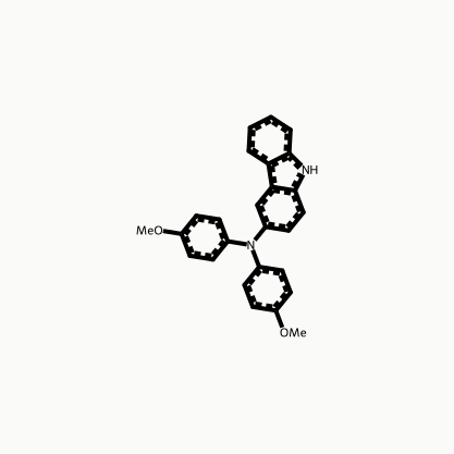 COc1ccc(N(c2ccc(OC)cc2)c2ccc3[nH]c4ccccc4c3c2)cc1